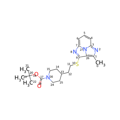 Cc1nc2cccc3nc(SCCC4CCN(C(=O)OC(C)(C)C)CC4)c1n23